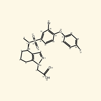 CN([C@@H]1CCCc2c1cnn2CC(=O)O)S(=O)(=O)c1ccc(Oc2ccc(F)cc2)c(Br)c1